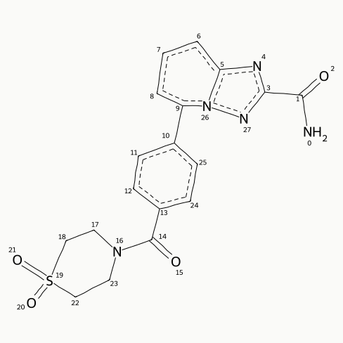 NC(=O)c1nc2cccc(-c3ccc(C(=O)N4CCS(=O)(=O)CC4)cc3)n2n1